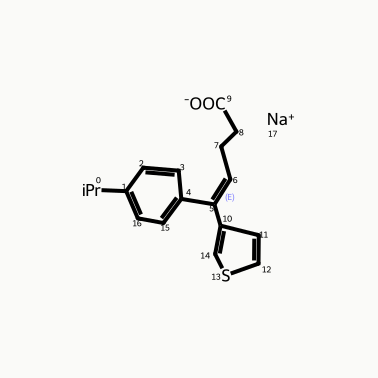 CC(C)c1ccc(/C(=C\CCC(=O)[O-])c2ccsc2)cc1.[Na+]